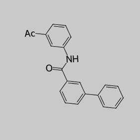 CC(=O)c1cccc(NC(=O)c2cccc(-c3ccccc3)c2)c1